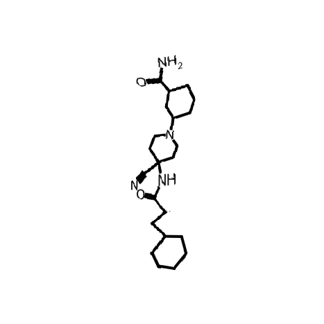 N#CC1(NC(=O)[CH]CC2CCCCC2)CCN(C2CCCC(C(N)=O)C2)CC1